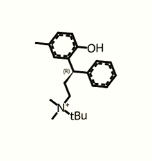 Cc1ccc(O)c([C@H](CC[N+](C)(C)C(C)(C)C)c2ccccc2)c1